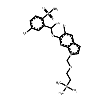 CCCC(Oc1nc2c(ccn2COCC[Si](C)(C)C)cc1Br)c1cc(C)ccc1S(N)(=O)=O